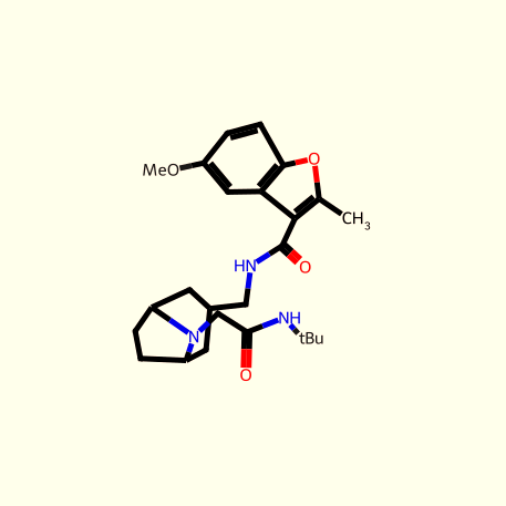 COc1ccc2oc(C)c(C(=O)NCC3CC4CCC(C3)N4CC(=O)NC(C)(C)C)c2c1